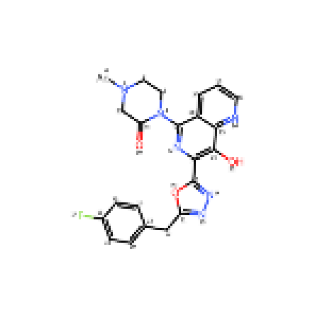 CC(=O)N1CCN(c2nc(-c3nnc(Cc4ccc(F)cc4)o3)c(O)c3ncccc23)C(=O)C1